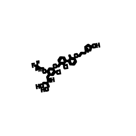 Cc1c(OCCCN2CC[C@@H](O)C2)cccc1-c1cccc(COc2cc(OC[C@H]3CC3(F)F)c(CNC(CO)CO)cc2Cl)c1Cl